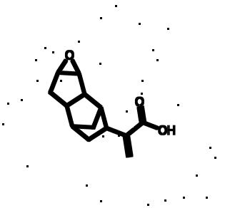 C=C(C(=O)O)C1CC2CC1C1C2CC2OC21